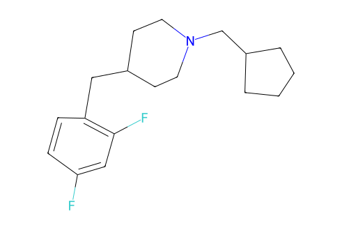 Fc1ccc(CC2CCN(CC3CCCC3)CC2)c(F)c1